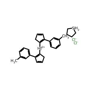 C1CC[SiH2]C1.Cc1cccc(C2=[C]([Hf+2][C]3=C(c4cccc(C)c4)C=CC3)CC=C2)c1.[Cl-].[Cl-]